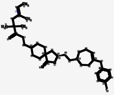 C/C=C(\C)CC(C)(C)C(=O)CCC1CCC2(CC1)C[C@H](CCN1CCC=C(Cc3ccc(F)cc3)CC1)OC2=O